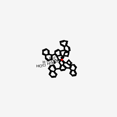 Cl.Cl.[CH3][Zr]([CH3])(=[SiH2])([CH]1C(CC2CCC2)=Cc2c(-c3cccc4ccccc34)ccc(-c3cccc4ccccc34)c21)[CH]1C(CC2CCC2)=Cc2c(-c3cccc4ccccc34)ccc(-c3cccc4ccccc34)c21